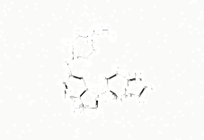 CN1CCN(Cc2cnc3[nH]cc(-c4ccc5nccn5n4)c3c2)CC1